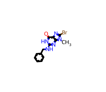 Cn1c(Br)nc2c(=O)[nH]c(NCc3ccccc3)nc21